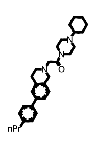 CCCc1ccc(-c2ccc3c(c2)CCN(CC(=O)N2CCN(C4CCCCC4)CC2)C3)cc1